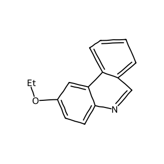 CCOc1ccc2ncc3ccccc3c2c1